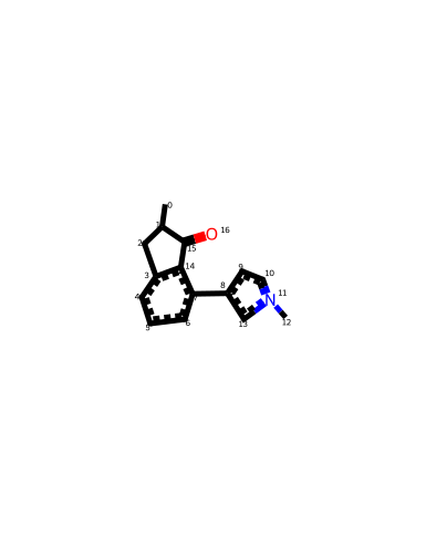 CC1Cc2cccc(-c3ccn(C)c3)c2C1=O